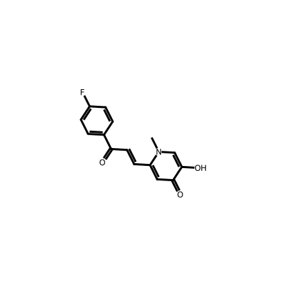 Cn1cc(O)c(=O)cc1C=CC(=O)c1ccc(F)cc1